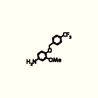 COc1cc(N)ccc1OCc1ccc(C(F)(F)F)cc1